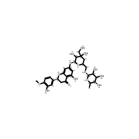 COc1ccc([C@@H]2CC(=O)c3c(O)cc(O[C@@H]4OC(CO[C@@H]5OC(C)[C@H](O)C(O)C5O)CC(O)(CO)C4O)cc3O2)cc1O